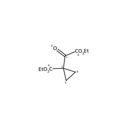 CCOC(=O)C(=O)C1(C(=O)OCC)CC1